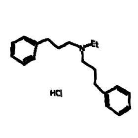 CCN(CCCc1ccccc1)CCCc1ccccc1.Cl